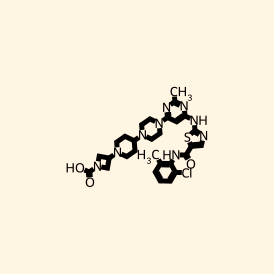 Cc1nc(Nc2ncc(C(=O)Nc3c(C)cccc3Cl)s2)cc(N2CCN(C3CCN(C4CN(C(=O)O)C4)CC3)CC2)n1